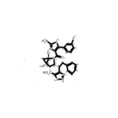 Nc1nc(C(=O)N2[C@H](C(Cc3ccccc3)c3nnsc3C(=O)O)C[C@H]3C[C@@H]32)c(-c2cccc(F)c2)s1